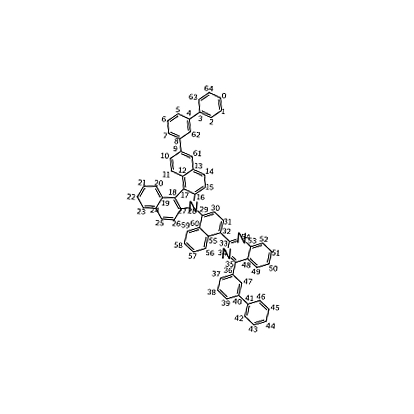 c1ccc(-c2cccc(-c3ccc4c(ccc5c4c4c6ccccc6ccc4n5-c4ccc(-c5nc(-c6cccc(-c7ccccc7)c6)c6ccccc6n5)c5ccccc45)c3)c2)cc1